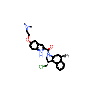 CC(C)c1cc2c(c3ccccc13)[C@H](CCl)CN2C(=O)c1cc2cc(OCCN(C)C)ccc2[nH]1